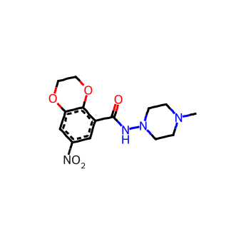 CN1CCN(NC(=O)c2cc([N+](=O)[O-])cc3c2OCCO3)CC1